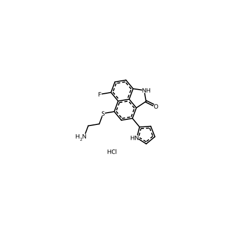 Cl.NCCSc1cc(-c2ccc[nH]2)c2c3c(ccc(F)c13)NC2=O